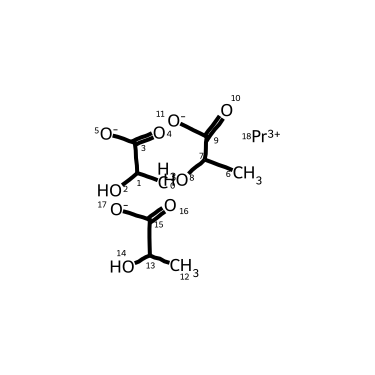 CC(O)C(=O)[O-].CC(O)C(=O)[O-].CC(O)C(=O)[O-].[Pr+3]